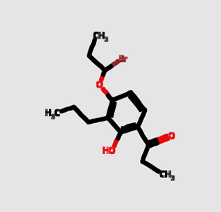 CCCc1c(OC(Br)CC)ccc(C(=O)CC)c1O